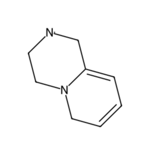 C1=CCN2CC[N]CC2=C1